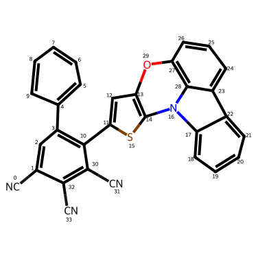 N#Cc1cc(-c2ccccc2)c(-c2cc3c(s2)-n2c4ccccc4c4cccc(c42)O3)c(C#N)c1C#N